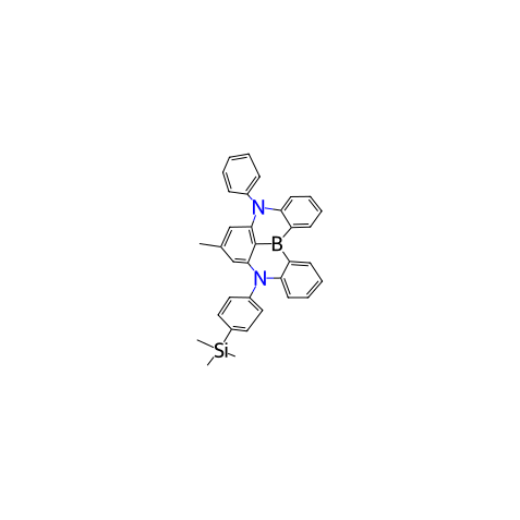 Cc1cc2c3c(c1)N(c1ccc([Si](C)(C)C)cc1)c1ccccc1B3c1ccccc1N2c1ccccc1